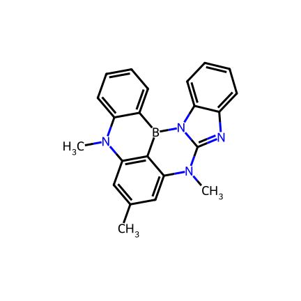 Cc1cc2c3c(c1)N(C)c1nc4ccccc4n1B3c1ccccc1N2C